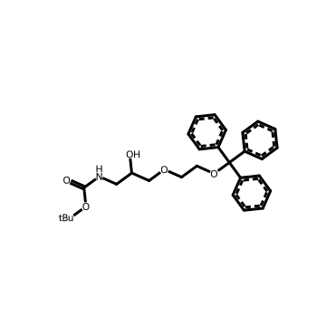 CC(C)(C)OC(=O)NCC(O)COCCOC(c1ccccc1)(c1ccccc1)c1ccccc1